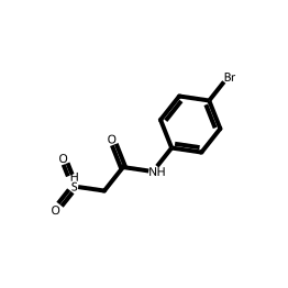 O=C(C[SH](=O)=O)Nc1ccc(Br)cc1